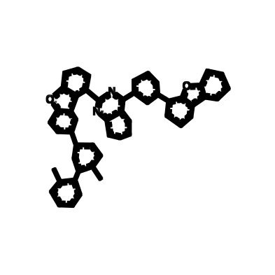 Cc1ccccc1-c1cc(-c2ccc3oc4cccc(-c5nc(-c6cccc(-c7cccc8c7oc7ccccc78)c6)c6ccccc6n5)c4c3c2)ccc1C